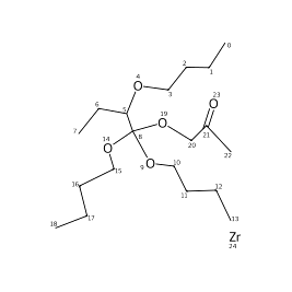 CCCCOC(CC)C(OCCCC)(OCCCC)OCC(C)=O.[Zr]